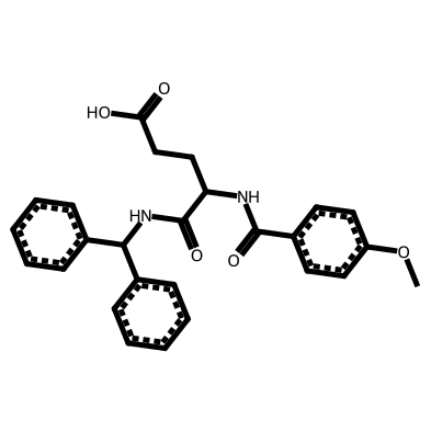 COc1ccc(C(=O)NC(CCC(=O)O)C(=O)NC(c2ccccc2)c2ccccc2)cc1